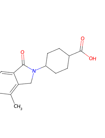 Cc1cccc2c1CN(C1CCC(C(=O)O)CC1)C2=O